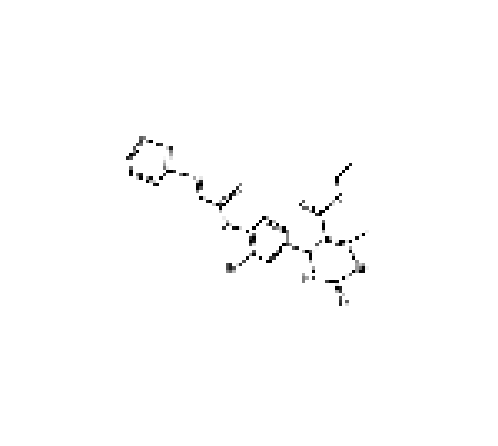 CCOC(=O)C1=C(C)NC(=O)NC1c1ccc(OC(=O)/C=C/c2ccccc2)c(Br)c1